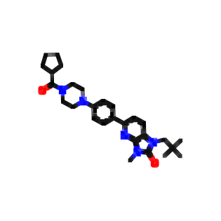 Cn1c(=O)n(CC(C)(C)C)c2ccc(-c3ccc(N4CCN(C(=O)C5CCCC5)CC4)cc3)nc21